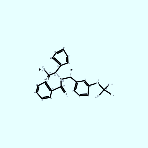 C[C@H](c1cccc(OC(F)(F)F)c1)N(C(=O)c1ccccc1)[C@H](C(N)=O)c1ccccc1